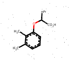 CCCC(Oc1cccc(C)c1C)C(=O)O